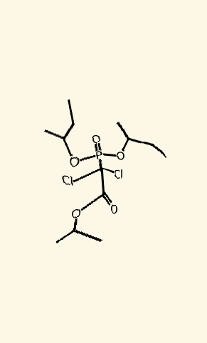 CCC(C)OP(=O)(OC(C)CC)C(Cl)(Cl)C(=O)OC(C)C